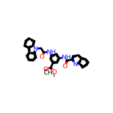 COC(=O)c1cc(NC(=O)Cn2c3ccccc3c3ccccc32)cc(NC(=O)c2ccc3ccccc3n2)c1